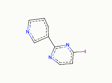 Ic1ccnc(-c2cccnc2)n1